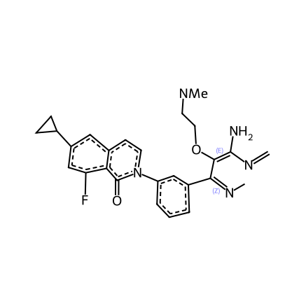 C=N/C(N)=C(OCCNC)\C(=N/C)c1cccc(-n2ccc3cc(C4CC4)cc(F)c3c2=O)c1